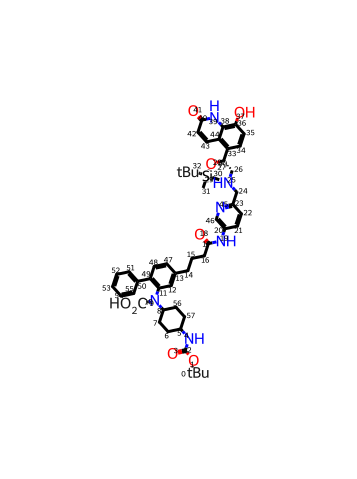 CC(C)(C)OC(=O)NC1CCC(N(C(=O)O)c2cc(CCCC(=O)Nc3ccc(CNC[C@H](O[Si](C)(C)C(C)(C)C)c4ccc(O)c5[nH]c(=O)ccc45)nc3)ccc2-c2ccccc2)CC1